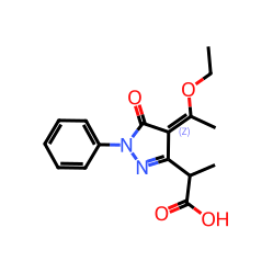 CCO/C(C)=C1\C(=O)N(c2ccccc2)N=C1C(C)C(=O)O